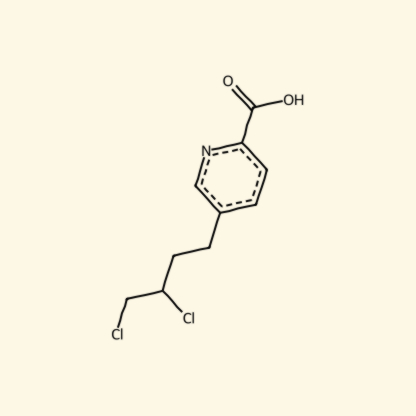 O=C(O)c1ccc(CCC(Cl)CCl)cn1